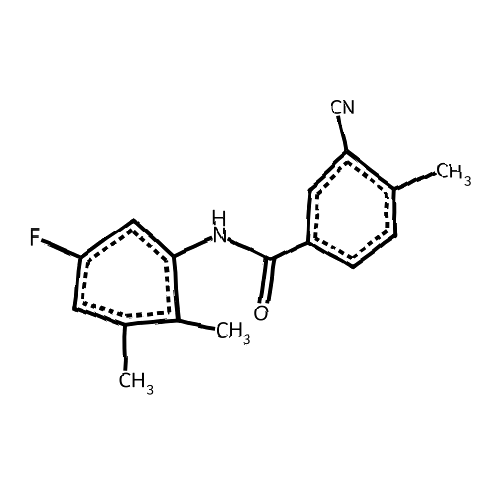 Cc1ccc(C(=O)Nc2cc(F)cc(C)c2C)cc1C#N